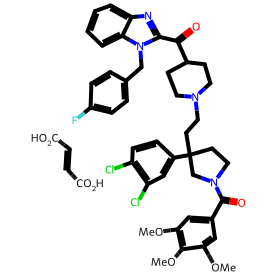 COc1cc(C(=O)N2CCC(CCN3CCC(C(=O)c4nc5ccccc5n4Cc4ccc(F)cc4)CC3)(c3ccc(Cl)c(Cl)c3)C2)cc(OC)c1OC.O=C(O)C=CC(=O)O